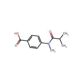 CC(C)C(=O)N(C)c1ccc(C(=O)O)cc1